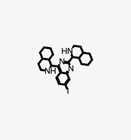 Ic1ccc2c(C3NCCC4CCCCC43)nc(C3NCCC4CCCCC43)nc2c1